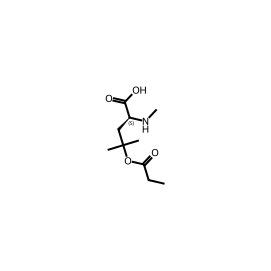 CCC(=O)OC(C)(C)C[C@H](NC)C(=O)O